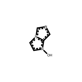 On1ccn2cncc12